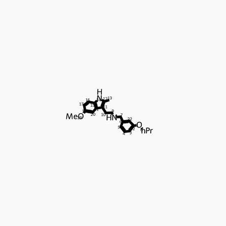 CCCOc1cccc(CNCCc2c(C)[nH]c3ccc(OC)cc23)c1